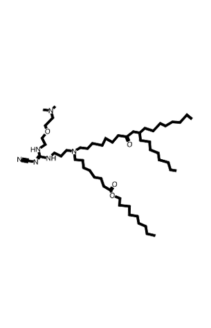 CCCCCCCCCOC(=O)CCCCCCCN(CCCCCCCC(=O)CC(CCCCCCCC)CCCCCCCC)CCCN/C(=N/C#N)NCCOCCN(C)C